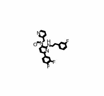 O=CN(Cc1cccnc1)c1ccc(-c2ccc(F)c(F)c2)nc1NCCc1cccc(F)c1